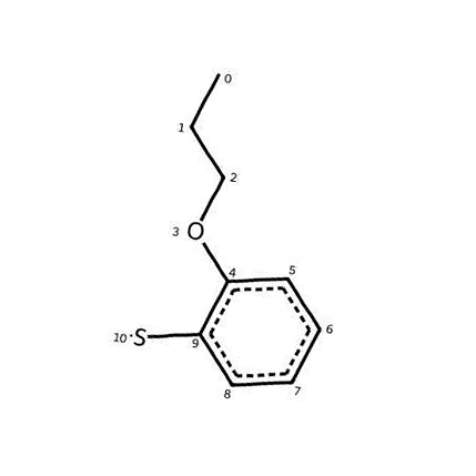 CCCOc1ccccc1[S]